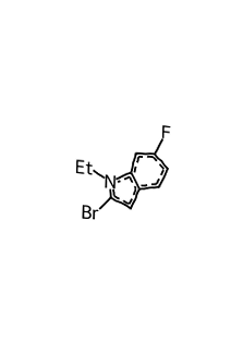 CCn1c(Br)cc2ccc(F)cc21